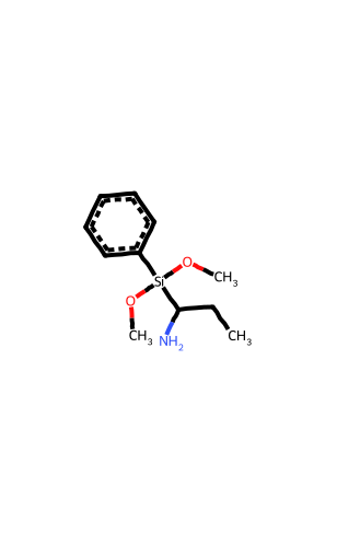 CCC(N)[Si](OC)(OC)c1ccccc1